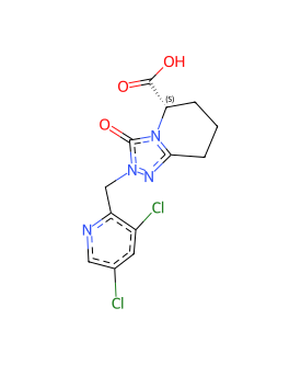 O=C(O)[C@@H]1CCCc2nn(Cc3ncc(Cl)cc3Cl)c(=O)n21